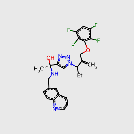 C=C(COc1c(F)c(F)cc(F)c1F)C(CC)n1cc([C@](C)(O)NCc2ccc3ncccc3c2)nn1